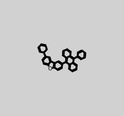 C1=CCC(c2ccc3oc4ccc(-c5c6ccccc6c(-c6ccccc6)c6ccccc56)cc4c3c2)C=C1